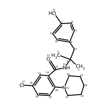 CC(C)(Cc1ccc(O)cc1)NC(=O)c1cc(Cl)ccc1N1CCCCC1